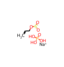 C=CCO[S-](=O)=O.O=P(O)(O)O.[Na+]